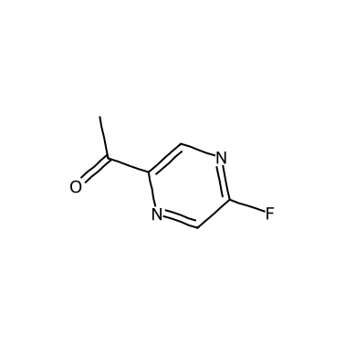 CC(=O)c1cnc(F)cn1